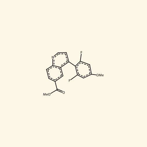 COC(=O)c1ccc2nccc(-c3c(F)cc(OC)cc3F)c2c1